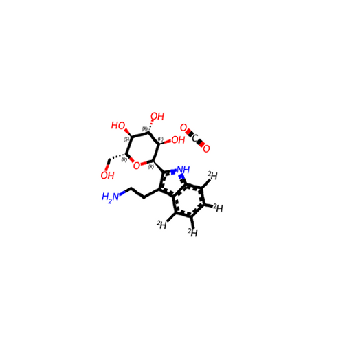 O=C=O.[2H]c1c([2H])c([2H])c2c(CCN)c([C@H]3O[C@H](CO)[C@@H](O)[C@H](O)[C@H]3O)[nH]c2c1[2H]